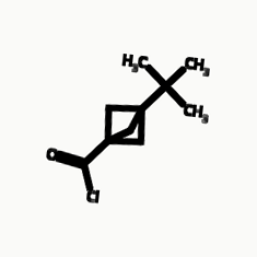 CC(C)(C)C12CC(C(=O)Cl)(C1)C2